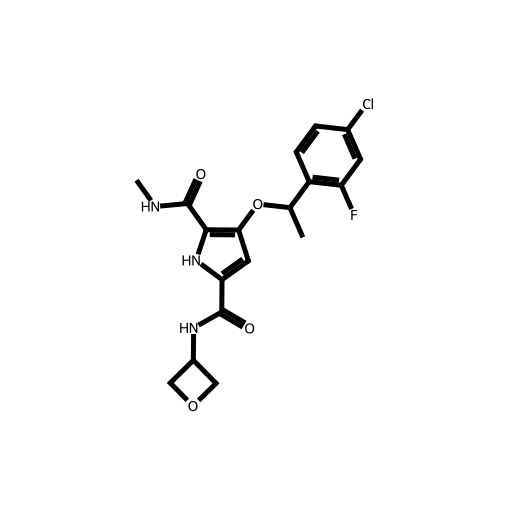 CNC(=O)c1[nH]c(C(=O)NC2COC2)cc1OC(C)c1ccc(Cl)cc1F